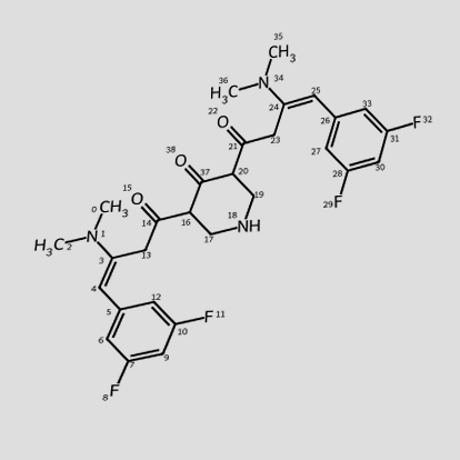 CN(C)/C(=C/c1cc(F)cc(F)c1)CC(=O)C1CNCC(C(=O)C/C(=C\c2cc(F)cc(F)c2)N(C)C)C1=O